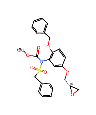 CC(C)(C)OC(=O)N(c1cc(OC[C@@H]2CO2)ccc1OCc1ccccc1)S(=O)(=O)Cc1ccccc1